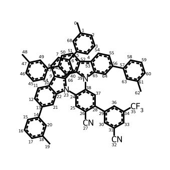 Cc1cccc(-c2ccc3c4ccc(-c5cccc(C)c5)cc4n(-c4cc(C#N)c(-c5cc(C#N)cc(C(F)(F)F)c5)cc4-n4c5cc(-c6cccc(C)c6)ccc5c5ccc(-c6cccc(C)c6)cc54)c3c2)c1